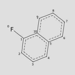 Fc1cccc2ccc[c]c12